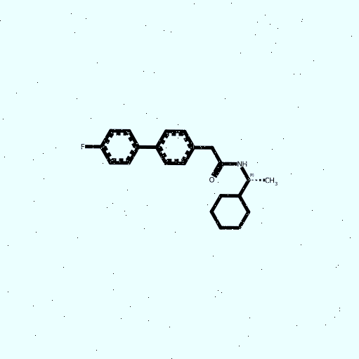 C[C@@H](NC(=O)Cc1ccc(-c2ccc(F)cc2)cc1)C1CCCCC1